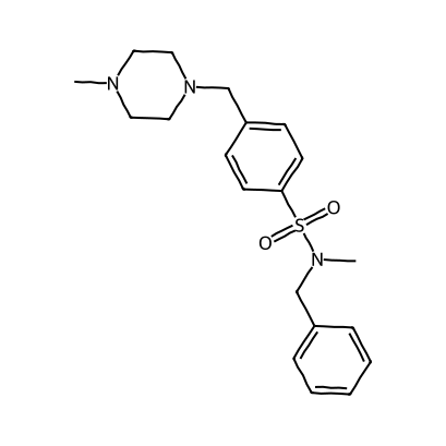 CN1CCN(Cc2ccc(S(=O)(=O)N(C)Cc3ccccc3)cc2)CC1